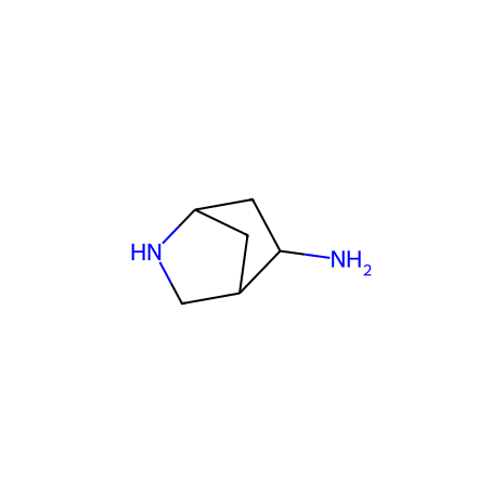 NC1CC2CC1CN2